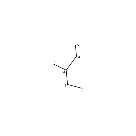 C[CH]C(C)CC